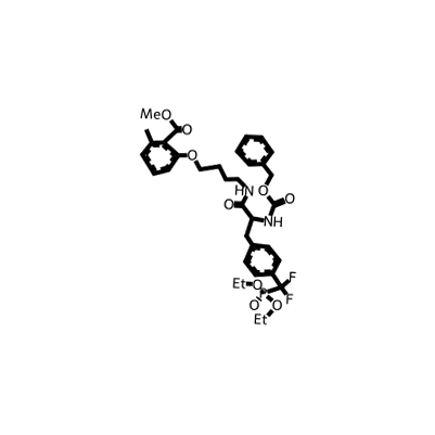 CCOP(=O)(OCC)C(F)(F)c1ccc(CC(NC(=O)OCc2ccccc2)C(=O)NCCCCOc2cccc(C)c2C(=O)OC)cc1